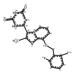 Cc1nc2c(OCc3c(F)cccc3F)cccn2c1-c1nc(=O)[nH]c(=O)[nH]1